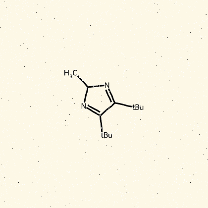 CC1N=C(C(C)(C)C)C(C(C)(C)C)=N1